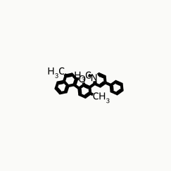 Cc1ccc2c(oc3cc(C)c4ccccc4c32)c1-c1cc(-c2ccccc2)cc[n+]1C